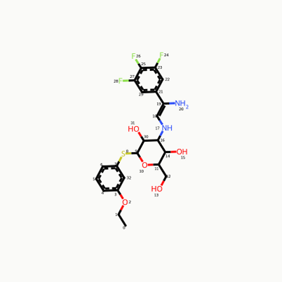 CCOc1cccc(SC2OC(CO)C(O)C(N/C=C(\N)c3cc(F)c(F)c(F)c3)C2O)c1